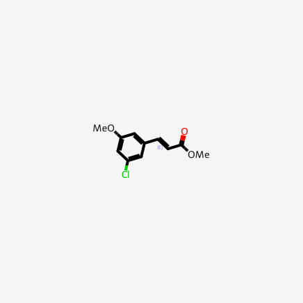 COC(=O)/C=C/c1cc(Cl)cc(OC)c1